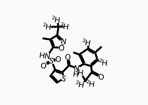 [2H]c1c(C)c([2H])c(C(=O)C([2H])([2H])[2H])c(NC(=O)c2sccc2S(=O)(=O)Nc2onc(C([2H])([2H])[2H])c2C)c1C